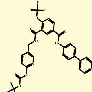 CC(C)(C)OC(=O)Nc1ccc(CNC(=O)c2cc(C(=O)Nc3ccc(-c4ccccc4)cc3)ccc2OC(F)(F)F)cn1